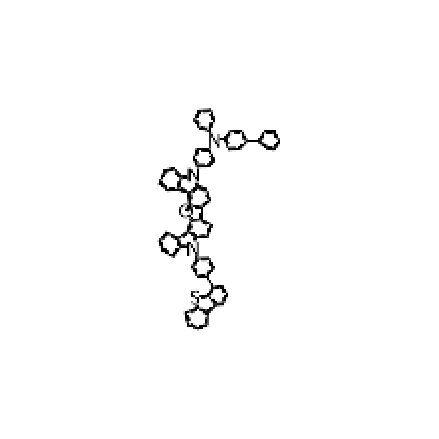 c1ccc(-c2ccc(N(c3ccccc3)c3ccc(-n4c5ccccc5c5c6oc7c(ccc8c7c7ccccc7n8-c7ccc(-c8cccc9c8sc8ccccc89)cc7)c6ccc54)cc3)cc2)cc1